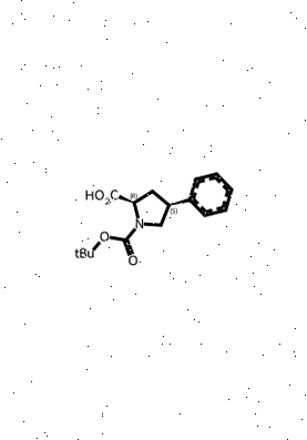 CC(C)(C)OC(=O)N1C[C@H](c2ccccc2)C[C@@H]1C(=O)O